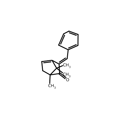 CC1(C)C2=CCC1(C)C(=O)C2=Cc1ccccc1